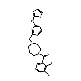 O=C(c1cccc(Cl)c1F)N1CCCN(Cc2cccc(Nc3nccs3)n2)CC1